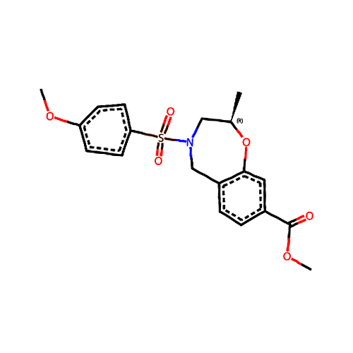 COC(=O)c1ccc2c(c1)O[C@H](C)CN(S(=O)(=O)c1ccc(OC)cc1)C2